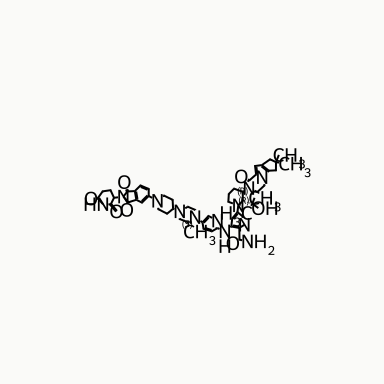 C[C@H]1CN(C2CCN(c3ccc4c(c3)C(=O)N(C3CCC(=O)NC3=O)C4=O)CC2)CCN1c1ccc(Nc2cc(N3CCC[C@@H](N4CCn5c(cc6c5CC(C)(C)C6)C4=O)[C@@H]3C(C)(C)O)cnc2C(N)=O)nc1